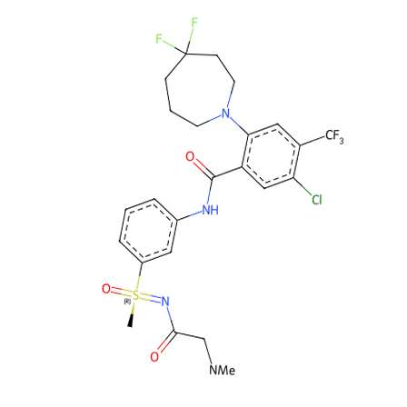 CNCC(=O)N=[S@](C)(=O)c1cccc(NC(=O)c2cc(Cl)c(C(F)(F)F)cc2N2CCCC(F)(F)CC2)c1